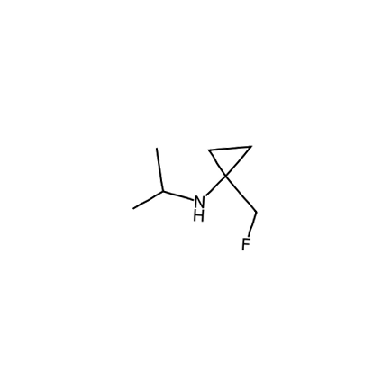 CC(C)NC1(CF)CC1